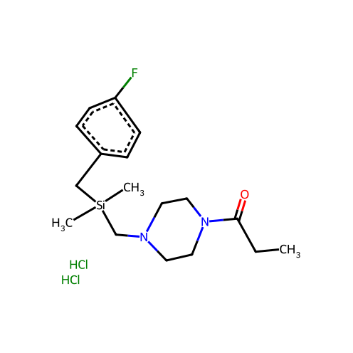 CCC(=O)N1CCN(C[Si](C)(C)Cc2ccc(F)cc2)CC1.Cl.Cl